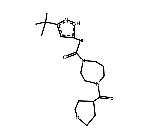 CC(C)(C)c1cc(NC(=O)N2CCCN(C(=O)C3CCOCC3)CC2)[nH]n1